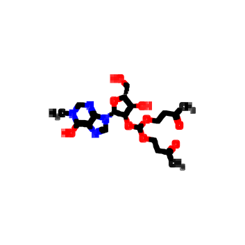 CC(=O)CCOC(OCCC(C)=O)O[C@@H]1[C@H](O)[C@@H](CO)O[C@H]1n1cnc2c1=NCN(C)C=2O